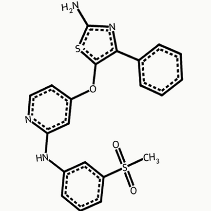 CS(=O)(=O)c1cccc(Nc2cc(Oc3sc(N)nc3-c3ccccc3)ccn2)c1